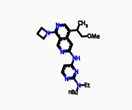 CCCCN(CC)c1nccc(Nc2cc3c(C(C)COC)cnc(N4CCC4)c3cn2)n1